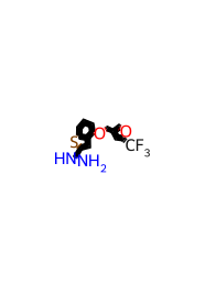 N=C(N)c1cc2c(OCc3coc(C(F)(F)F)c3)cccc2s1